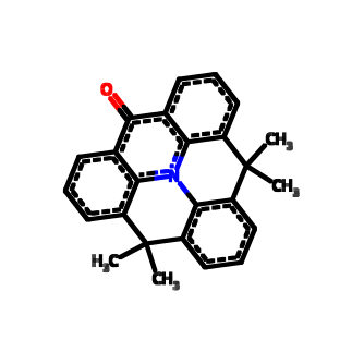 CC1(C)c2cccc3c2-n2c4c1cccc4c(=O)c1cccc(c12)C3(C)C